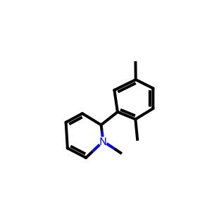 Cc1ccc(C)c(C2C=CC=CN2C)c1